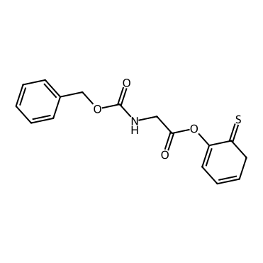 O=C(CNC(=O)OCc1ccccc1)OC1=CC=CCC1=S